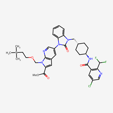 COC(=O)c1cc2cc(-n3c(=O)n(C[C@H]4CC[C@H](NC(=O)c5cc(Cl)cnc5C(F)F)CC4)c4ccccc43)cnc2n1COCC[Si](C)(C)C